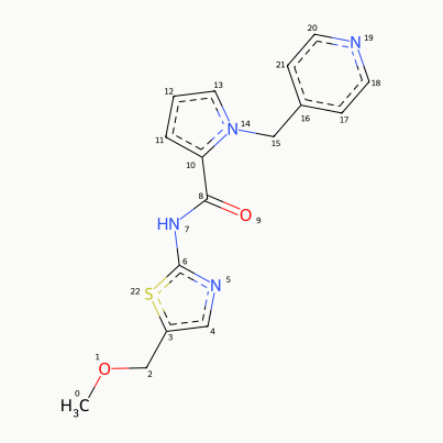 COCc1cnc(NC(=O)c2cccn2Cc2ccncc2)s1